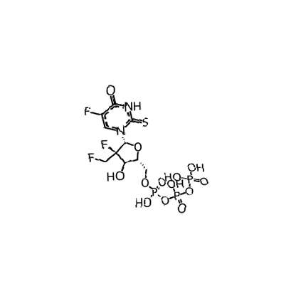 O=c1[nH]c(=S)n([C@@H]2O[C@H](COP(=O)(O)OP(=O)(O)OP(=O)(O)O)C(O)[C@]2(F)CF)cc1F